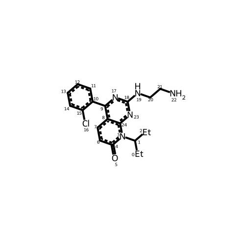 CCC(CC)n1c(=O)ccc2c(-c3ccccc3Cl)nc(NCCN)nc21